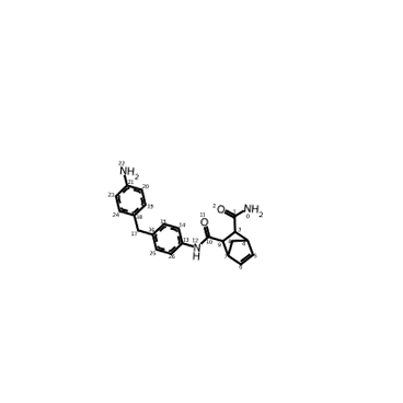 NC(=O)C1C2C=CC(C2)C1C(=O)Nc1ccc(Cc2ccc(N)cc2)cc1